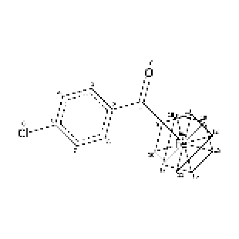 O=C(c1ccc(Cl)cc1)[C]12[CH]3[CH]4[CH]5[CH]1[Fe]45321678[CH]2[CH]1[CH]6[CH]7[CH]28